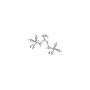 CC(COS(=O)(=O)C(F)(F)F)OS(=O)(=O)C(F)(F)F